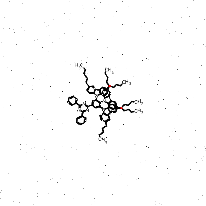 CCCCCc1ccc2c(c1)c1cc(CCCCC)ccc1n2-c1cc(-c2nc(-c3ccccc3)nc(-c3ccccc3)n2)cc(-n2c3ccc(CCCCC)cc3c3cc(CCCCC)ccc32)c1-n1c2ccc(CCCCC)cc2c2cc(CCCCC)ccc21